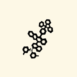 Cc1cccc(N(c2cccc(C)c2)c2ccc(-c3c4ccccc4c(-c4ccc(C5(c6ccccc6)c6ccccc6-c6ccccc65)cc4)c4cc5ccccc5cc34)c3ccccc23)c1